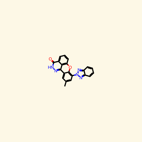 Cc1cc2c(c(-n3nc4ccccc4n3)c1)Oc1cccc3c(=O)[nH]nc-2c13